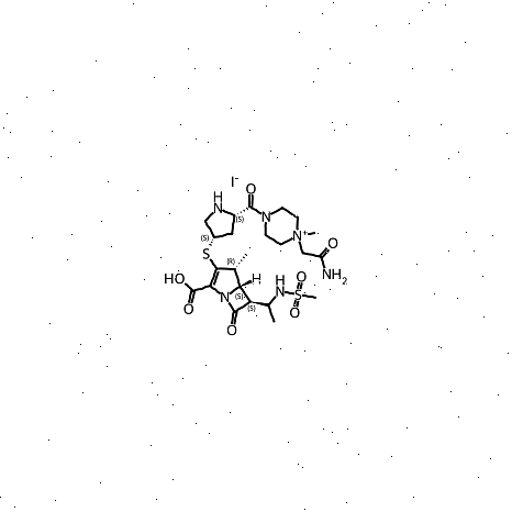 CC(NS(C)(=O)=O)[C@H]1C(=O)N2C(C(=O)O)=C(S[C@@H]3CN[C@H](C(=O)N4CC[N+](C)(CC(N)=O)CC4)C3)[C@H](C)[C@H]12.[I-]